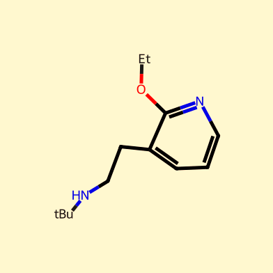 CCOc1ncccc1CCNC(C)(C)C